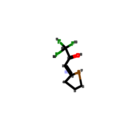 O=C(/C=C1/CCCS1)C(F)(F)F